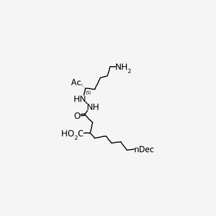 CCCCCCCCCCCCCCCC(CC(=O)NN[C@@H](CCCCN)C(C)=O)C(=O)O